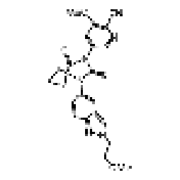 COCCn1cc2cc(N3C(=S)N(c4cnc(C#N)c(OC)c4)C(=O)C34CCC4)ccc2n1